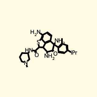 Cc1cc(C(C)C)ccc1C1(N)C(=O)C(N)C2c3c1ccc(N)c3SC2C(=O)NC1CCCN(C)C1